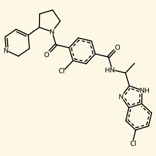 CC(NC(=O)c1ccc(C(=O)N2CCCC2C2=CC=NCC2)c(Cl)c1)c1nc2cc(Cl)ccc2[nH]1